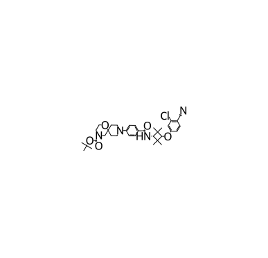 CC(C)(C)OC(=O)N1CCOC2(CCN(c3ccc(C(=O)N[C@H]4C(C)(C)[C@H](Oc5ccc(C#N)c(Cl)c5)C4(C)C)cc3)CC2)C1